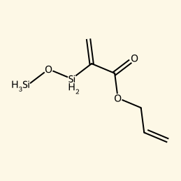 C=CCOC(=O)C(=C)[SiH2]O[SiH3]